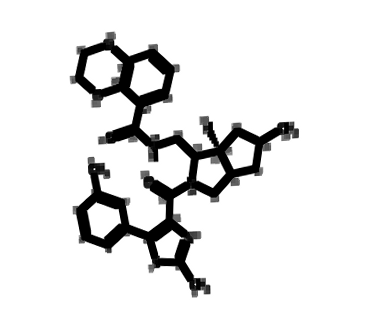 Cc1cccc(-c2sc(C)nc2C(=O)N2CC3CC(C)C[C@@H]3C2CNC(=O)c2cccc3c2OCCO3)c1